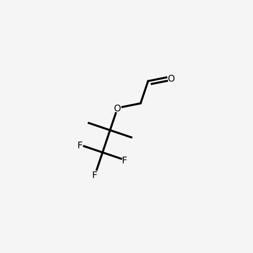 CC(C)(OCC=O)C(F)(F)F